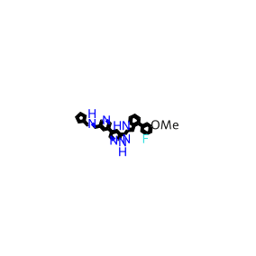 COc1cc(F)cc(-c2cccc3[nH]c(-c4n[nH]c5ncc(-c6cncc(CNCC7CCCC7)c6)cc45)cc23)c1